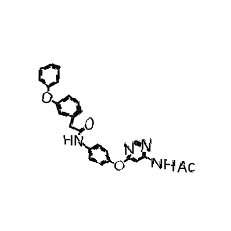 CC(=O)Nc1cc(Oc2ccc(NC(=O)Cc3cccc(Oc4ccccc4)c3)cc2)ncn1